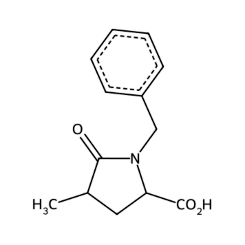 CC1CC(C(=O)O)N(Cc2ccccc2)C1=O